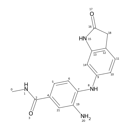 CNC(=O)c1ccc(Nc2ccc3c(c2)NC(=O)C3)c(N)c1